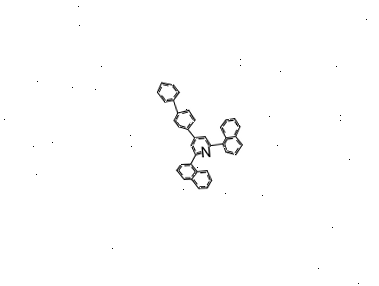 c1ccc(-c2ccc(-c3cc(-c4cccc5ccccc45)nc(-c4cccc5ccccc45)c3)cc2)cc1